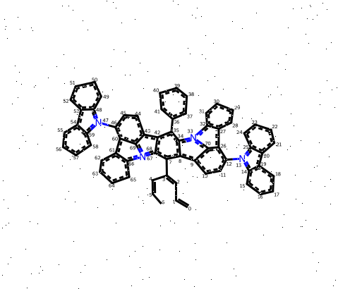 C=C/C=C(\C=C/C)c1c2c3ccc(-n4c5ccccc5c5ccccc54)c4c5ccccc5n(c2c(-c2ccccc2)c2c5ccc(-n6c7ccccc7c7ccccc76)c6c7ccccc7n(c12)c56)c34